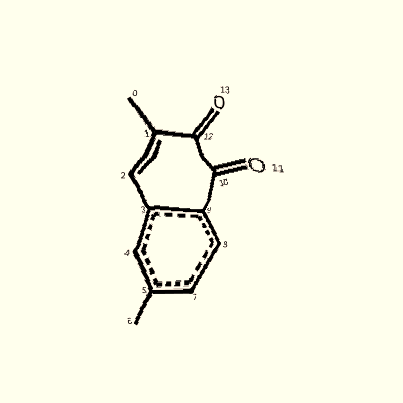 CC1=Cc2cc(C)ccc2C(=O)C1=O